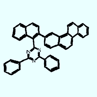 c1ccc(-c2nc(-c3ccccc3)nc(-c3c(-c4ccc5ccc6c7ccccc7ccc6c5c4)ccc4ccccc34)n2)cc1